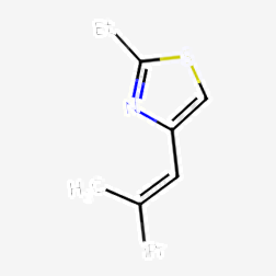 CCc1nc(/C=C(\C)C(C)C)cs1